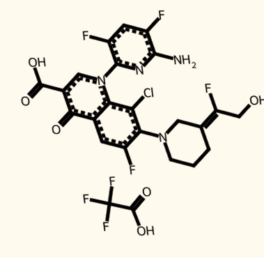 Nc1nc(-n2cc(C(=O)O)c(=O)c3cc(F)c(N4CCCC(=C(F)CO)C4)c(Cl)c32)c(F)cc1F.O=C(O)C(F)(F)F